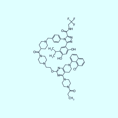 CCC(=O)N1CCN(c2nc(OCCN3CCN(C(=O)C4CCN(Cc5ccc(-n6c(C(=O)NCC(F)(F)F)nnc6-c6cc(C(C)C)c(O)cc6O)cc5)CC4)CC3)nc3c2CCN(c2cccc4cccc(Cl)c24)C3)CC1